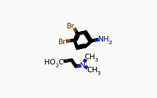 CN(C)CCC(=O)O.Nc1ccc(Br)c(Br)c1